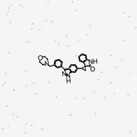 O=C1Nc2ccccc2[C@]12CC2c1ccc2c(-c3cccc(CN4CCOCC4)c3)n[nH]c2c1